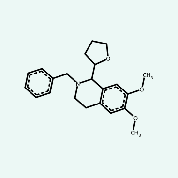 COc1cc2c(cc1OC)C(C1CCCO1)N(Cc1ccccc1)CC2